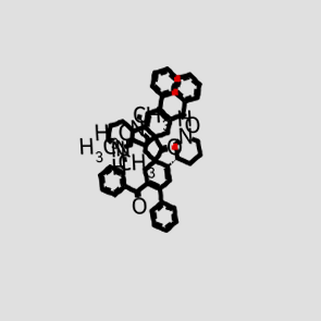 CN(C)CCC1(C(=O)C2(CCN(C)C)CC(C(=O)c3ccccc3)=C(c3ccccc3)C=C2[C@H]2CCCNC2)CC(C(=O)c2ccccc2)=C(c2ccccc2)C=C1C1CCCNC1